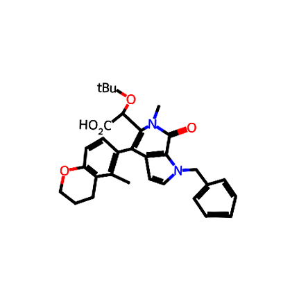 Cc1c(-c2c(C(OC(C)(C)C)C(=O)O)n(C)c(=O)c3c2ccn3Cc2ccccc2)ccc2c1CCCO2